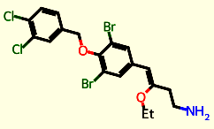 CCOC(=Cc1cc(Br)c(OCc2ccc(Cl)c(Cl)c2)c(Br)c1)CCN